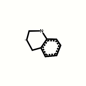 [C]1C[N]c2ccccc2C1